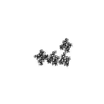 CCSc1ccc(N(Cc2cccnc2)c2ccc(OC(F)F)c(OC(F)F)c2)cc1.CCSc1ccc(N(Cc2cncs2)c2ccc(OC(F)F)c(OC(F)F)c2)cc1.CSc1ccc(N(Cc2cncs2)c2ccc(OC(F)F)c(OC(F)F)c2)cc1.CSc1cccc(N(Cc2cncs2)c2ccc(OC(F)F)c(OC(F)F)c2)c1